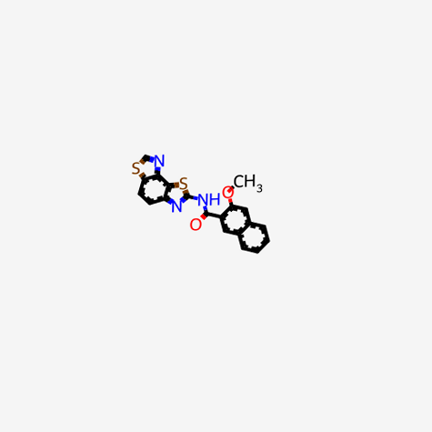 COc1cc2ccccc2cc1C(=O)Nc1nc2ccc3scnc3c2s1